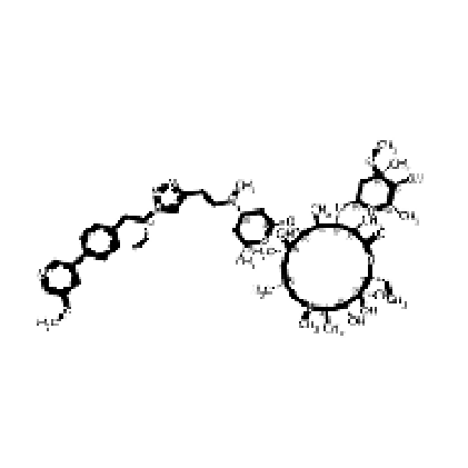 CC[C@H]1OC(=O)[C@H](C)[C@@H](O[C@H]2C[C@@](C)(OC)[C@@H](O)[C@H](C)O2)[C@H](C)[C@@H](O[C@H]2C[C@@H](N(C)CCc3cn([C@H](CF)Cc4ccc(-c5cncc(OC)c5)cc4)nn3)C[C@@H](C)O2)[C@](C)(O)C[C@@H](C)CN(C)[C@H](C)[C@@H](O)[C@]1(C)O